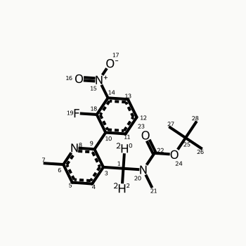 [2H]C([2H])(c1ccc(C)nc1-c1cccc([N+](=O)[O-])c1F)N(C)C(=O)OC(C)(C)C